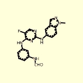 Cn1ncc2cc(Nc3ncc(F)c(Nc4cccc(NC=O)c4)n3)ccc21